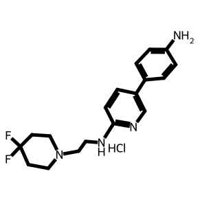 Cl.Nc1ccc(-c2ccc(NCCN3CCC(F)(F)CC3)nc2)cc1